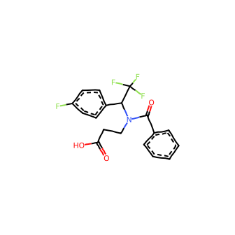 O=C(O)CCN(C(=O)c1ccccc1)C(c1ccc(F)cc1)C(F)(F)F